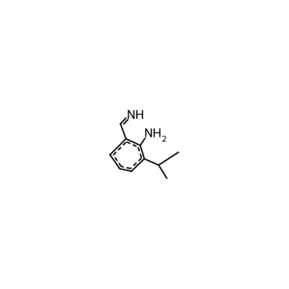 CC(C)c1cccc(C=N)c1N